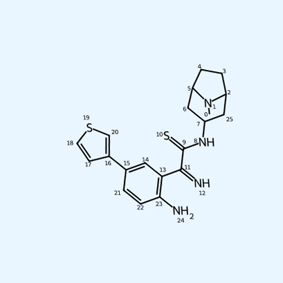 CN1C2CCC1CC(NC(=S)C(=N)c1cc(-c3ccsc3)ccc1N)C2